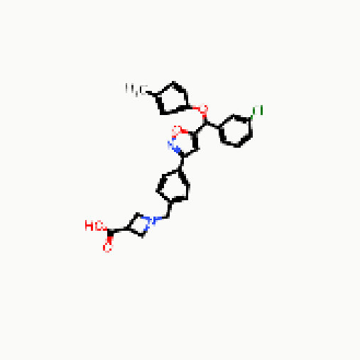 Cc1ccc(OC(c2cccc(Cl)c2)c2cc(-c3ccc(CN4CC(C(=O)O)C4)cc3)no2)cc1